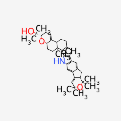 CC1(C)C=C2c3cc4[nH]c5c(c4cc3CC2C(C)(C)O1)CC1CCC2C3=CC[C@@H](C(C)(C)O)OC3CC[C@]2(C)C51C